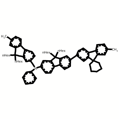 CCCCCCC1(CCCCCC)c2cc(C)ccc2-c2ccc(N(c3ccccc3)c3ccc4c(c3)C(CCCCCC)(CCCCCC)c3cc(-c5ccc6c(c5)C5(CCCCC5)c5cc(C)ccc5-6)ccc3-4)cc21